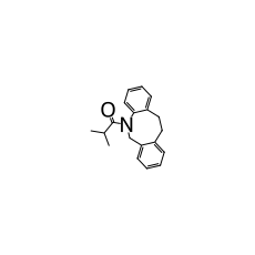 CC(C)C(=O)N1Cc2ccccc2CCc2ccccc21